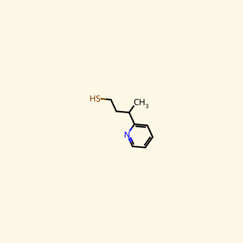 CC(CCS)c1ccccn1